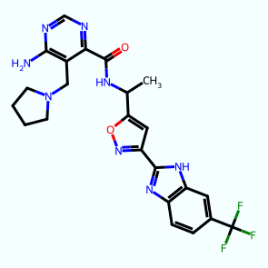 CC(NC(=O)c1ncnc(N)c1CN1CCCC1)c1cc(-c2nc3ccc(C(F)(F)F)cc3[nH]2)no1